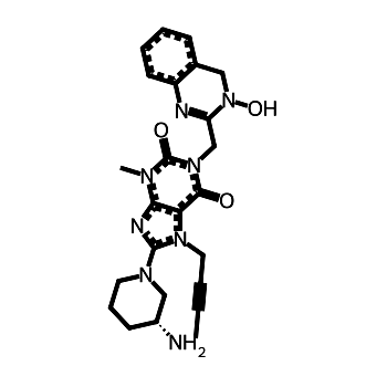 CC#CCn1c(N2CCC[C@@H](N)C2)nc2c1c(=O)n(CC1=Nc3ccccc3CN1O)c(=O)n2C